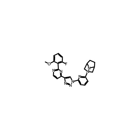 COc1cccc(F)c1-c1nccc(-c2cn(-c3cccc(N4CC5CCC(C4)N5C)n3)nn2)n1